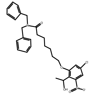 CC(O)c1c(OCCCCCCC(=O)N(Cc2ccccc2)Cc2ccccc2)cc(Cl)cc1[N+](=O)[O-]